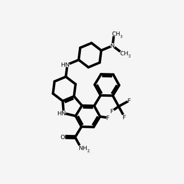 CN(C)C1CCC(NC2CCc3[nH]c4c(C(N)=O)cc(F)c(-c5ccccc5C(F)(F)F)c4c3C2)CC1